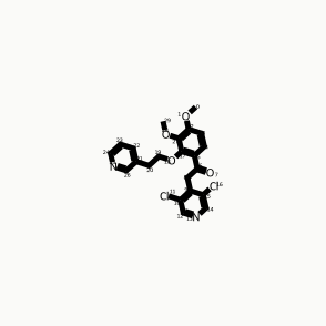 COc1ccc(C(=O)Cc2c(Cl)cncc2Cl)c(OCCc2cccnc2)c1OC